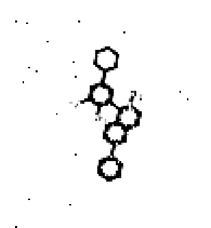 Cc1cc(C2CCCCC2)cc(-c2c3ccc(-c4ccccc4)cc3cc[n+]2C)c1C